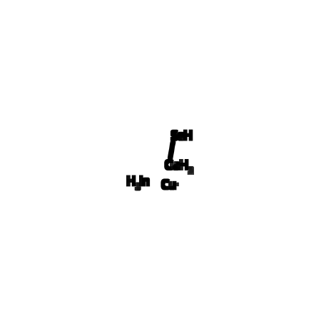 [Cu].[GaH2][SeH].[InH3]